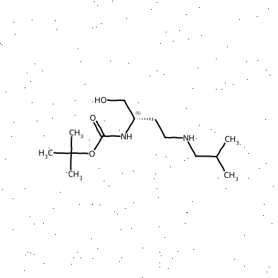 CC(C)CNCC[C@@H](CO)NC(=O)OC(C)(C)C